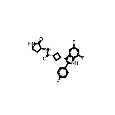 O=C1NCCC1NC(=O)[C@H]1C[C@@H](c2c(-c3ccc(F)cc3)[nH]c3c(F)cc(F)cc32)C1